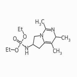 CCOP(=O)(NC1CC2=C(C)C(C)N=C(C)N2C1)OCC